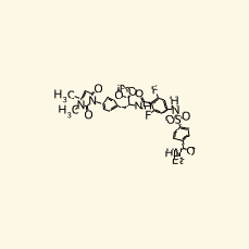 CCNC(=O)c1ccc(S(=O)(=O)Nc2cc(F)c(C(=O)N[C@@H](Cc3ccc(-n4c(=O)cc(C)n(C)c4=O)cc3)C(=O)OC(C)C)c(F)c2)cc1